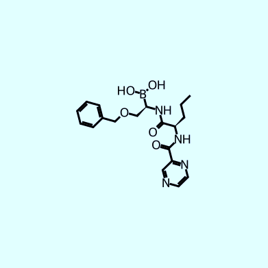 CCC[C@@H](NC(=O)c1cnccn1)C(=O)N[C@@H](COCc1ccccc1)B(O)O